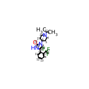 CC(C)N1CCC(n2cc(-c3ccccc3C(F)(F)F)[nH]c2=O)CC1